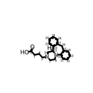 O=C(O)CCCN1CCN2c3ccccc3Cc3ccccc3[C@H]2C1